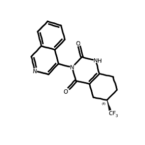 O=c1[nH]c2c(c(=O)n1-c1cncc3ccccc13)C[C@H](C(F)(F)F)CC2